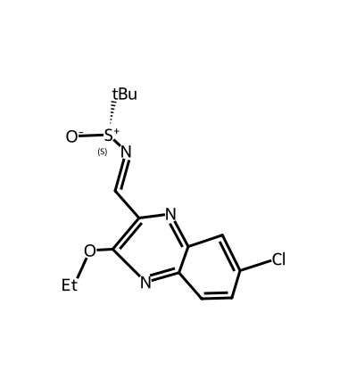 CCOc1nc2ccc(Cl)cc2nc1C=N[S@+]([O-])C(C)(C)C